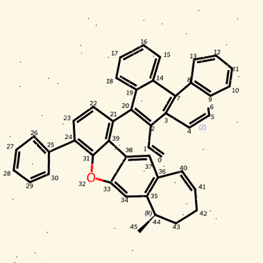 C=Cc1c(/C=C\C)c(-c2ccccc2)c2ccccc2c1-c1ccc(-c2ccccc2)c2oc3cc4c(cc3c12)C=CCC[C@H]4C